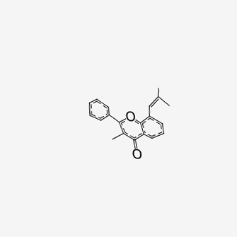 CC(C)=Cc1cccc2c(=O)c(C)c(-c3ccccc3)oc12